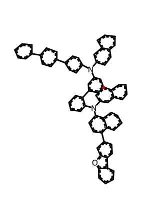 c1ccc(-c2ccc(-c3ccc(N(c4cccc(-c5ccccc5N(c5ccc6ccccc6c5)c5ccc(-c6ccc7c(c6)oc6ccccc67)c6ccccc56)c4)c4ccc5ccccc5c4)cc3)cc2)cc1